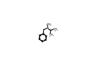 [CH2]N(Cc1ccccc1)C(C)C